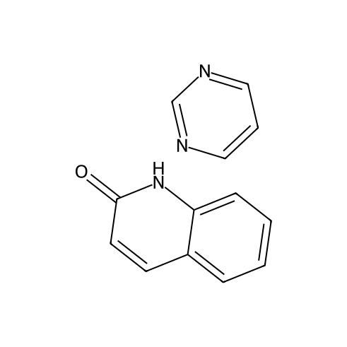 O=c1ccc2ccccc2[nH]1.c1cncnc1